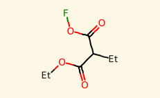 CCOC(=O)C(CC)C(=O)OF